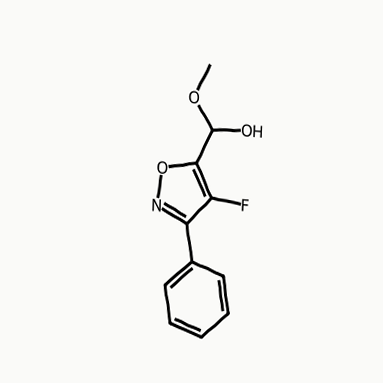 COC(O)c1onc(-c2ccccc2)c1F